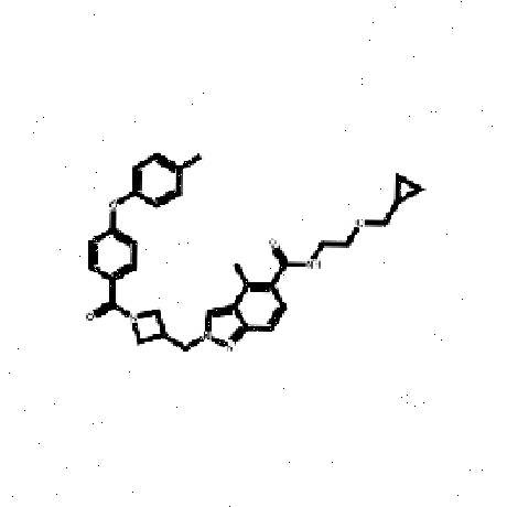 Cc1ccc(Oc2ccc(C(=O)N3CC(Cn4cc5c(C)c(C(=O)NCCOCC6CC6)ccc5n4)C3)cc2)cc1